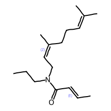 C/C=C/C(=O)N(C/C=C(/C)CCC=C(C)C)CCC